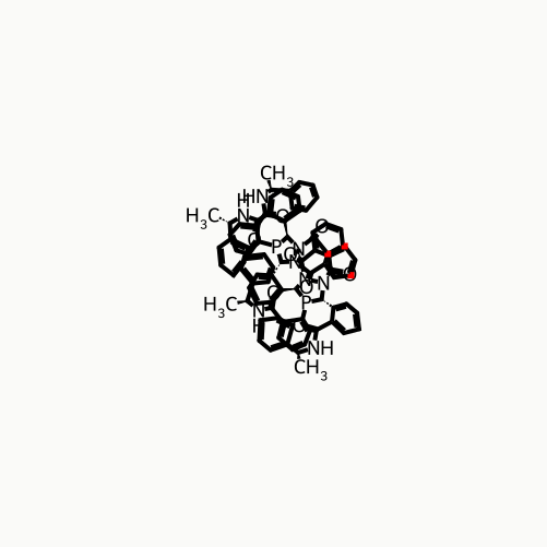 C[C@H](NC(=O)c1ccccc1[C@H]1n2c(=O)c3ccccc3c(=O)n2[C@H](c2ccccc2[C@H]2n3c(=O)c4ccccc4c(=O)n3[C@H](c3ccccc3C(=O)N[C@@H](C)c3ccccc3)P2c2ccccc2C(=O)N[C@@H](C)c2ccccc2)P1c1ccccc1C(=O)N[C@@H](C)c1ccccc1)c1ccccc1